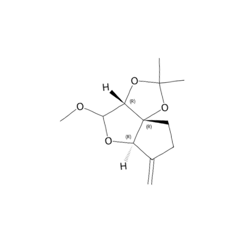 C=C1CC[C@]23OC(C)(C)O[C@H]2C(OC)O[C@H]13